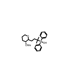 CO[C@H]1CCCOC1CCC(C)(C)[Si](O)(c1ccccc1)c1ccccc1